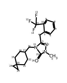 Cn1nc(Cc2ccccc2C(F)(F)F)n(CC2CCC3(CC2)CC3)c1=O